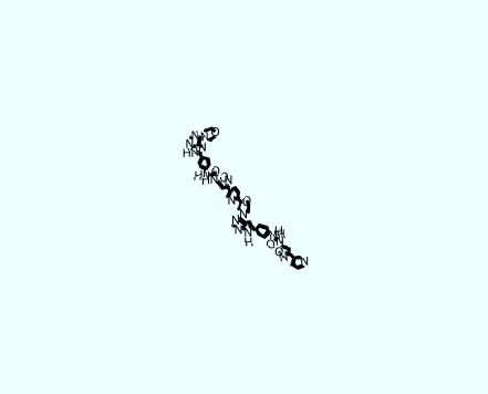 O=C(Nc1ccc(-c2cc3c(N4CCOC(c5ccc(-c6cc(NC(=O)Nc7ccc(-c8nc9c(N%10CCOCC%10)ncnc9[nH]8)cc7)on6)cn5)C4)ncnc3[nH]2)cc1)Nc1cc(-c2cccnc2)no1